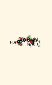 COc1ccc(-c2cc3ccc(OC4CCC(OC(=O)C(CC(C)(C)C)C(C)(C)C)C4C(F)(F)F)cc3oc2=O)c(OC(F)(F)F)c1